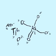 O=[As]([O-])([O-])[O-].[O-2].[Rb+].[Ti+4]